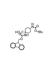 CC(C)(C)OC(=O)NC1CCC(NC(=O)OCC2c3ccccc3-c3ccccc32)(C(=O)O)CC1